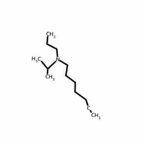 CCCCCCCN(CCC)C(C)C